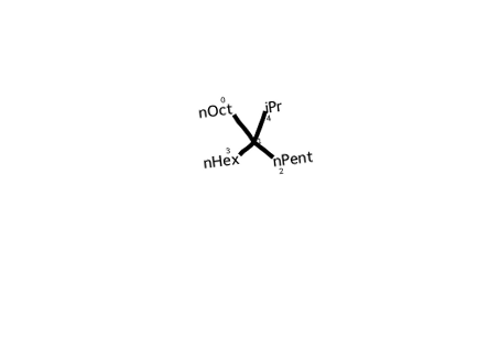 CCCCCCCCC(CCCCC)(CCCCCC)C(C)C